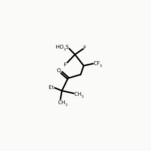 CCC(C)(C)C(=O)CC(C(F)(F)F)C(F)(F)S(=O)(=O)O